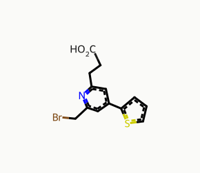 O=C(O)CCc1cc(-c2cccs2)cc(CBr)n1